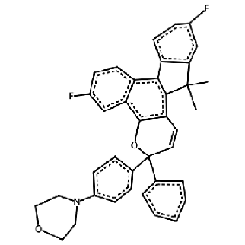 CC1(C)c2cc(F)ccc2-c2c1c1c(c3cc(F)ccc23)OC(c2ccccc2)(c2ccc(N3CCOCC3)cc2)C=C1